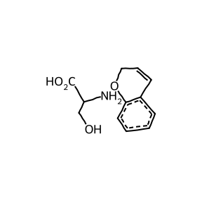 C1=Cc2ccccc2OC1.NC(CO)C(=O)O